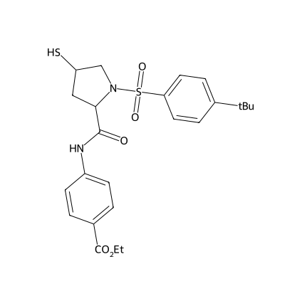 CCOC(=O)c1ccc(NC(=O)C2CC(S)CN2S(=O)(=O)c2ccc(C(C)(C)C)cc2)cc1